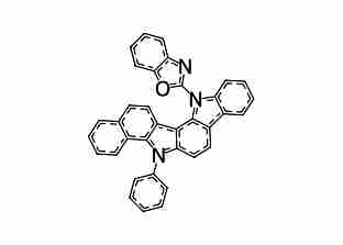 c1ccc(-n2c3ccc4c5ccccc5n(-c5nc6ccccc6o5)c4c3c3ccc4ccccc4c32)cc1